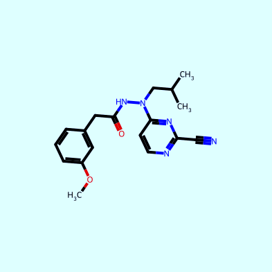 COc1cccc(CC(=O)NN(CC(C)C)c2ccnc(C#N)n2)c1